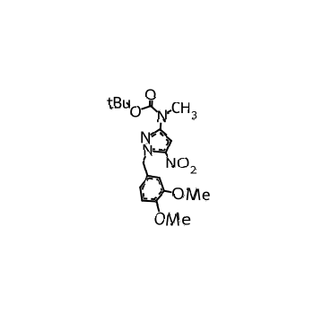 COc1ccc(Cn2nc(N(C)C(=O)OC(C)(C)C)cc2[N+](=O)[O-])cc1OC